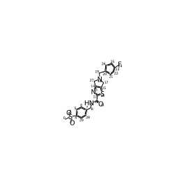 CS(=O)(=O)c1ccc(CNC(=O)c2nc3c(s2)CN(Cc2ccc(F)cc2)C3)cc1